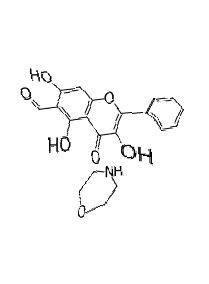 C1COCCN1.O=Cc1c(O)cc2oc(-c3ccccc3)c(O)c(=O)c2c1O